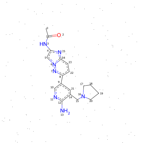 CC(=O)Nc1cn2nc(-c3cnc(N)c(CN4CCCC4)c3)ccc2n1